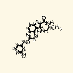 C[C@@H]1CNc2c(sc3ccc4nc(OCc5ccnc(Cl)n5)cnc4c23)C(=O)N1